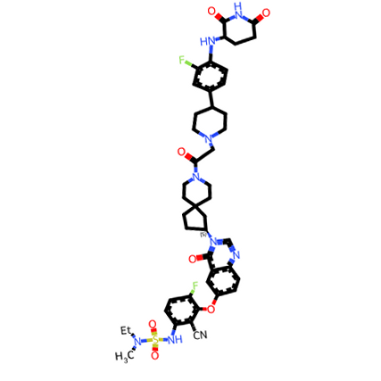 CCN(C)S(=O)(=O)Nc1ccc(F)c(Oc2ccc3ncn([C@H]4CCC5(CCN(C(=O)CN6CCC(c7ccc(NC8CCC(=O)NC8=O)c(F)c7)CC6)CC5)C4)c(=O)c3c2)c1C#N